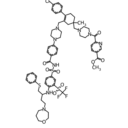 COC(=O)c1ccc(C(=O)N2CCN(CC3(C)CCC(c4ccc(Cl)cc4)=C(CN4CCN(c5ccc(C(=O)NS(=O)(=O)c6ccc(NC(CCN7CCCOCC7)CSc7ccccc7)c(S(=O)(=O)C(F)(F)F)c6)cc5)CC4)C3)CC2)nc1